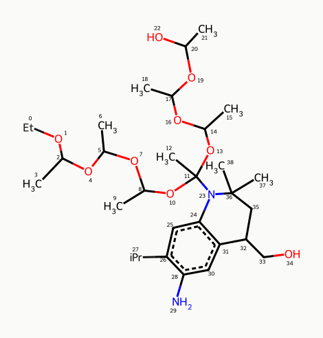 CCOC(C)OC(C)OC(C)OC(C)(OC(C)OC(C)OC(C)O)N1c2cc(C(C)C)c(N)cc2C(CO)CC1(C)C